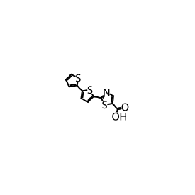 O=C(O)c1cnc(-c2ccc(-c3cccs3)s2)s1